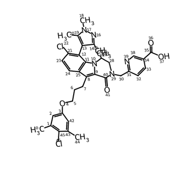 Cc1cc(OCCCc2c3n(c4c(-c5c(C)nn(C)c5C)c(Cl)ccc24)C(C)CN(Cc2ccc(C(=O)O)cn2)C3=O)cc(C)c1Cl